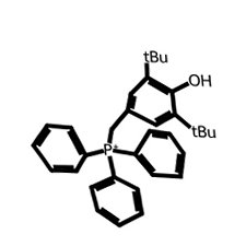 CC(C)(C)c1cc(C[P+](c2ccccc2)(c2ccccc2)c2ccccc2)cc(C(C)(C)C)c1O